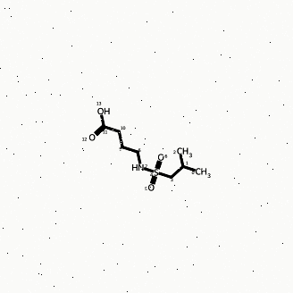 CC(C)CS(=O)(=O)NCCCC(=O)O